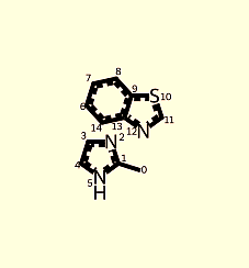 Cc1ncc[nH]1.c1ccc2scnc2c1